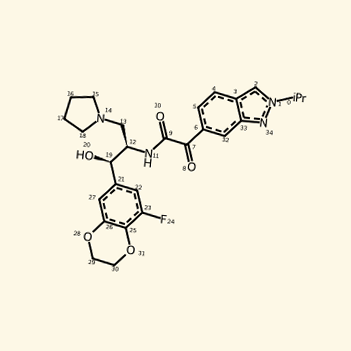 CC(C)n1cc2ccc(C(=O)C(=O)N[C@H](CN3CCCC3)[C@H](O)c3cc(F)c4c(c3)OCCO4)cc2n1